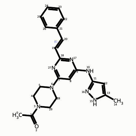 CC(=O)N1CCN(c2cc(Nc3cc(C)[nH]n3)nc(/C=C/c3ccccc3)n2)CC1